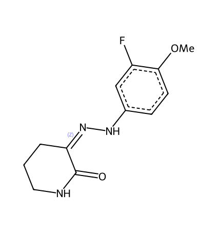 COc1ccc(N/N=C2/CCCNC2=O)cc1F